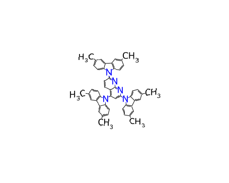 Cc1ccc2c(c1)c1cc(C)ccc1n2-c1ccc2c(-n3c4ccc(C)cc4c4cc(C)ccc43)cc(-n3c4ccc(C)cc4c4cc(C)ccc43)nc2n1